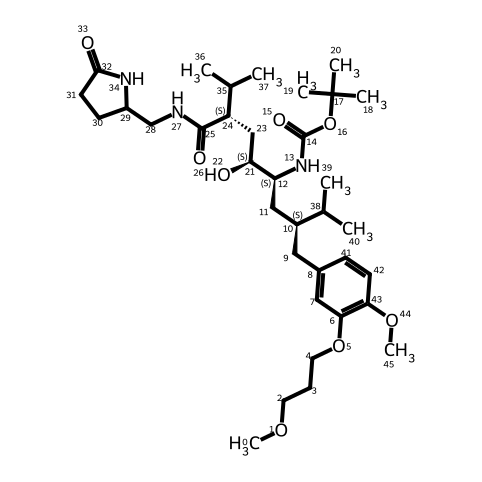 COCCCOc1cc(C[C@@H](C[C@H](NC(=O)OC(C)(C)C)[C@@H](O)C[C@H](C(=O)NCC2CCC(=O)N2)C(C)C)C(C)C)ccc1OC